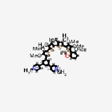 COc1cccc(OC(C)C)c1-c1sc(-c2sc(-c3sc(-c4sc(-c5cc(-c6cc[n+](C)cc6)cc(-c6cc[n+](C)cc6)c5)c(OC)c4OC)c(C)c3C)c(C)c2C)c(OC)c1OC